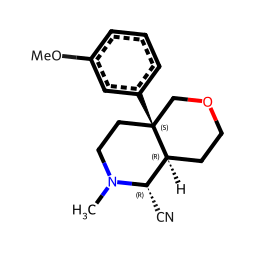 COc1cccc([C@]23CCN(C)[C@@H](C#N)[C@@H]2CCOC3)c1